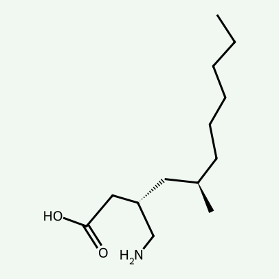 CCCCCC[C@@H](C)C[C@H](CN)CC(=O)O